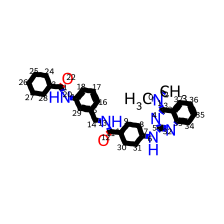 CN(C)c1nc(NC2CCC(C(=O)NCc3cccc(NC(=O)C4CCCCC4)c3)CC2)nc2ccccc12